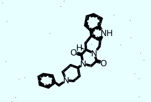 O=C1[C@H]2Cc3c([nH]c4ccccc34)CN2C(=O)CN1C1CCN(Cc2ccccc2)CC1